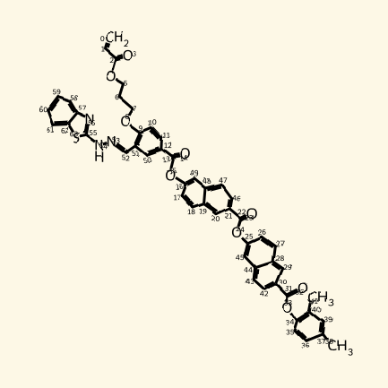 C=CC(=O)OCCCOc1ccc(C(=O)Oc2ccc3cc(C(=O)Oc4ccc5cc(C(=O)Oc6ccc(C)cc6C)ccc5c4)ccc3c2)cc1/C=N/Nc1nc2ccccc2s1